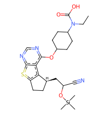 CCN(C(=O)O)C1CCC(Oc2ncnc3sc4c(c23)[C@@H](CC(C#N)O[Si](C)(C)C)CC4)CC1